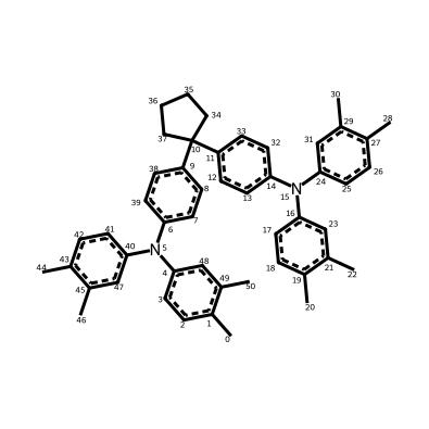 Cc1ccc(N(c2ccc(C3(c4ccc(N(c5ccc(C)c(C)c5)c5ccc(C)c(C)c5)cc4)CCCC3)cc2)c2ccc(C)c(C)c2)cc1C